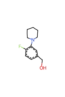 OCc1ccc(F)c(N2CCCCC2)c1